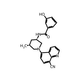 C[C@H]1C[C@@H](NC(=O)c2cccc(O)c2)CN(c2ccc(C#N)c3ncccc23)C1